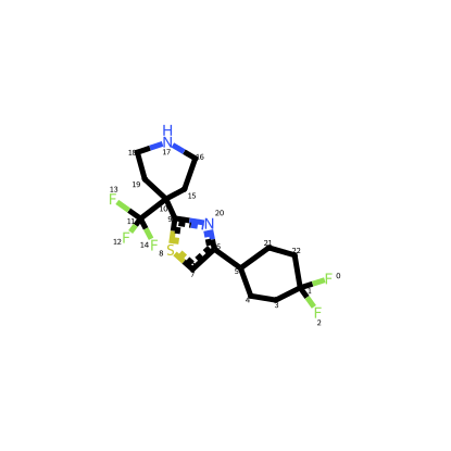 FC1(F)CCC(c2csc(C3(C(F)(F)F)CCNCC3)n2)CC1